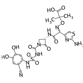 CC(C)(ON=C(C(=O)N[C@H]1CN(C(=O)NS(=O)(=O)Nc2cc(O)c(O)cc2C#N)C1=O)c1csc(N)n1)C(=O)O